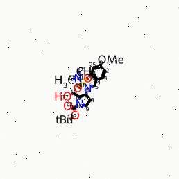 COc1ccc(CN(C2CCN(C(=O)OC(C)(C)C)C2CO)S(=O)(=O)N(C)C)cc1